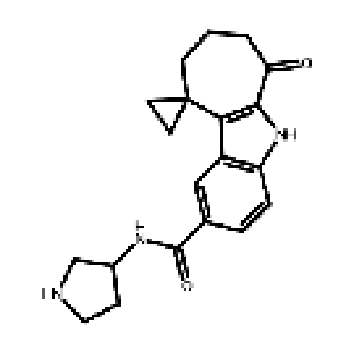 O=C(NC1CCNC1)c1ccc2[nH]c3c(c2c1)C1(CCCC3=O)CC1